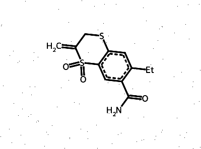 C=C1CSc2cc(CC)c(C(N)=O)cc2S1(=O)=O